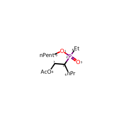 CCCCCOP(=O)(CC)C(CCC)COC(C)=O